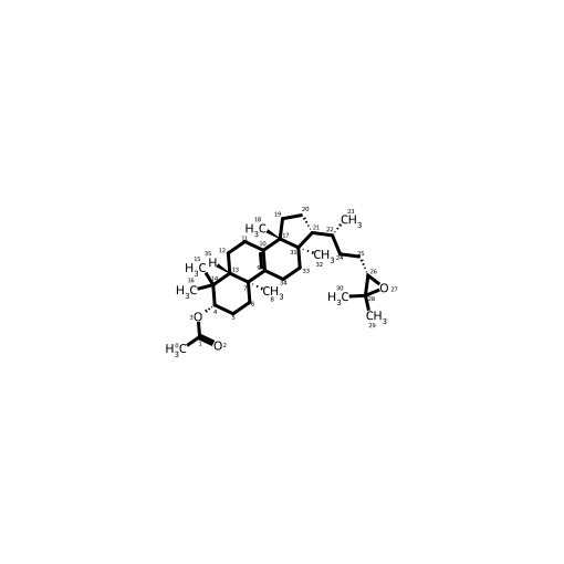 CC(=O)O[C@H]1CC[C@]2(C)C3=C(CC[C@H]2C1(C)C)[C@]1(C)CC[C@H]([C@H](C)CC[C@@H]2OC2(C)C)[C@@]1(C)CC3